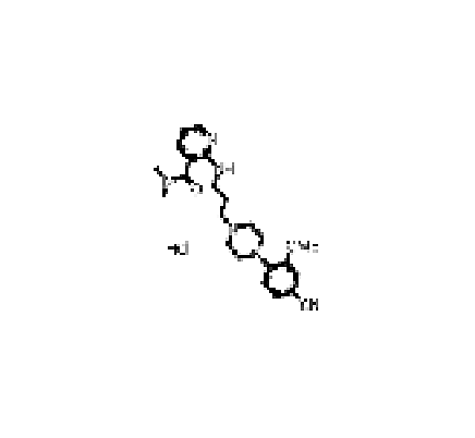 COc1cc(C#N)ccc1N1CCN(CCCNc2ncccc2C(=O)N(C)C)CC1.Cl